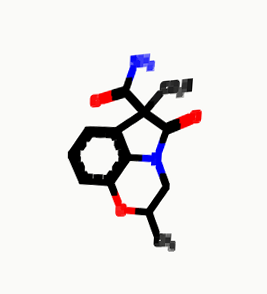 CC1CN2C(=O)C(C(N)=O)(C(=O)O)c3cccc(c32)O1